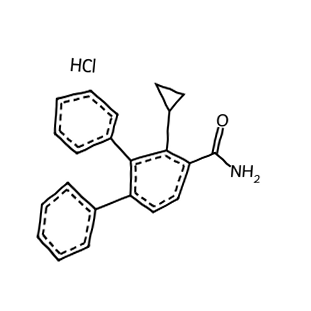 Cl.NC(=O)c1ccc(-c2ccccc2)c(-c2ccccc2)c1C1CC1